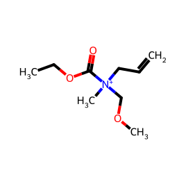 C=CC[N+](C)(COC)C(=O)OCC